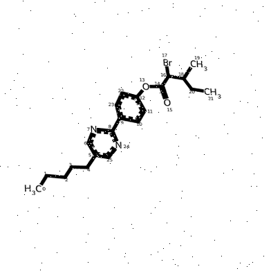 CCCCCc1cnc(-c2ccc(OC(=O)C(Br)C(C)CC)cc2)nc1